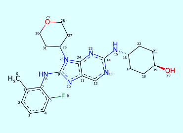 Cc1cccc(F)c1Nc1nc2cnc(N[C@H]3CC[C@H](O)CC3)nc2n1C1CCOCC1